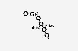 CCCCCCc1cc(-c2ccc(C)cc2)ccc1-c1ccc(-c2ccc(N(C)c3ccc(-c4ccccc4)cc3)cc2)cc1CCCCCC